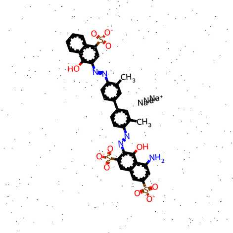 Cc1cc(-c2ccc(N=Nc3c(S(=O)(=O)[O-])cc4cc(S(=O)(=O)[O-])cc(N)c4c3O)c(C)c2)ccc1N=Nc1cc(S(=O)(=O)[O-])c2ccccc2c1O.[Na+].[Na+].[Na+]